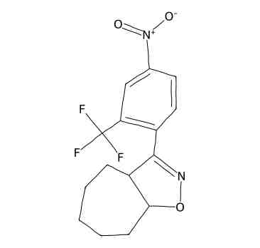 O=[N+]([O-])c1ccc(C2=NOC3CCCCCC23)c(C(F)(F)F)c1